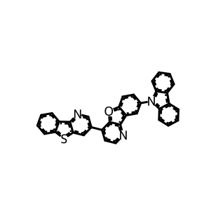 c1ccc2c(c1)sc1cc(-c3ccnc4c3oc3ccc(-n5c6ccccc6c6ccccc65)cc34)cnc12